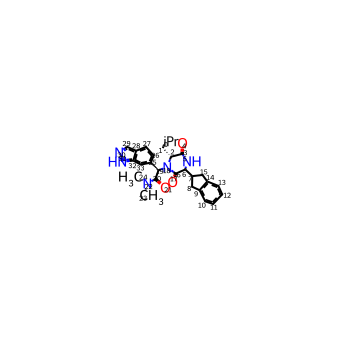 CC(C)C[C@@H]1C(=O)NC(C2Cc3ccccc3C2)C(=O)N1[C@@H](C(=O)N(C)C)c1ccc2cn[nH]c2c1